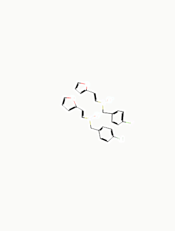 [O-][S+](/C=C/c1ccco1)Cc1ccc(Cl)cc1.[O-][S+](/C=C/c1ccco1)Cc1ccc(F)cc1